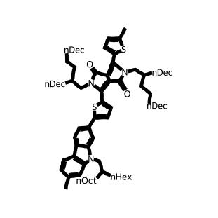 CCCCCCCCCCCCC(CCCCCCCCCC)CN1C(=O)C2=C(c3ccc(-c4ccc5c6ccc(C)cc6n(CC(CCCCCC)CCCCCCCC)c5c4)s3)N(CC(CCCCCCCCCC)CCCCCCCCCCCC)C(=O)C2=C1c1ccc(C)s1